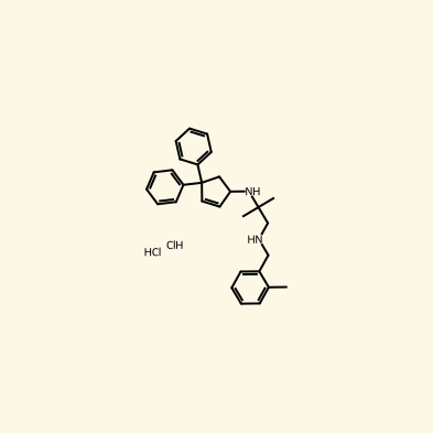 Cc1ccccc1CNCC(C)(C)NC1C=CC(c2ccccc2)(c2ccccc2)C1.Cl.Cl